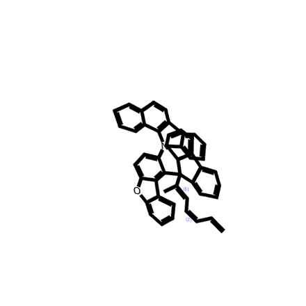 C=C/C=C\C=C(/C)C1(c2c(-n3c4ccccc4c4ccc5ccccc5c43)ccc3oc4ccccc4c23)c2ccccc2C2=CC=CCC21